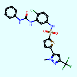 Cn1nc(C(F)(F)F)cc1-c1ccc(S(=O)(=O)Nc2ccc(Cl)c(NC(=O)Nc3ccccc3)c2)s1